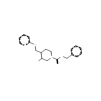 O=C(OCc1ccccc1)N1CCC(CNc2ccccn2)C(O)C1